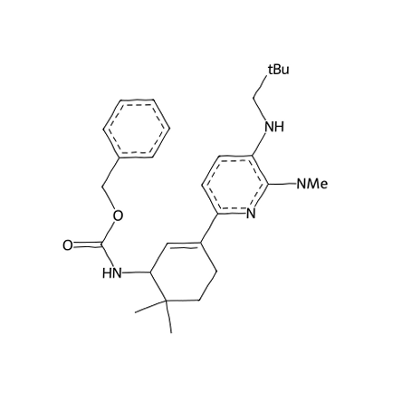 CNc1nc(C2=CC(NC(=O)OCc3ccccc3)C(C)(C)CC2)ccc1NCC(C)(C)C